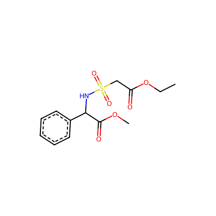 CCOC(=O)CS(=O)(=O)NC(C(=O)OC)c1ccccc1